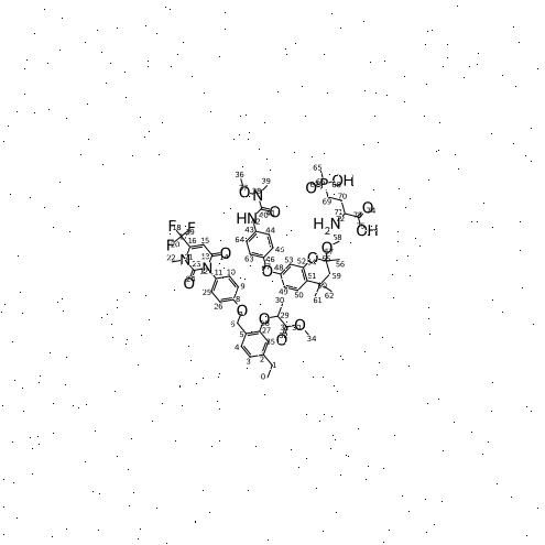 CCc1ccc(COc2ccc(-n3c(=O)cc(C(F)(F)F)n(C)c3=O)cc2)c(OC(C)C(=O)OC)c1.CON(C)C(=O)Nc1ccc(Oc2ccc3c(c2)OC(C)(OC)CC3(C)C)cc1.CP(=O)(O)CCC(N)C(=O)O